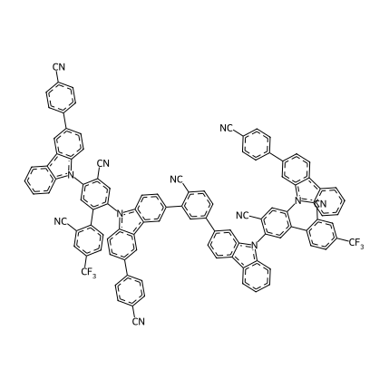 N#Cc1ccc(-c2ccc3c(c2)c2ccccc2n3-c2cc(-c3ccc(C(F)(F)F)cc3C#N)c(-n3c4ccc(-c5ccc(C#N)cc5)cc4c4cc(-c5cc(-c6ccc7c8ccccc8n(-c8cc(-c9ccc(C(F)(F)F)cc9C#N)c(-n9c%10ccccc%10c%10ccc(-c%11ccc(C#N)cc%11)cc%109)cc8C#N)c7c6)ccc5C#N)ccc43)cc2C#N)cc1